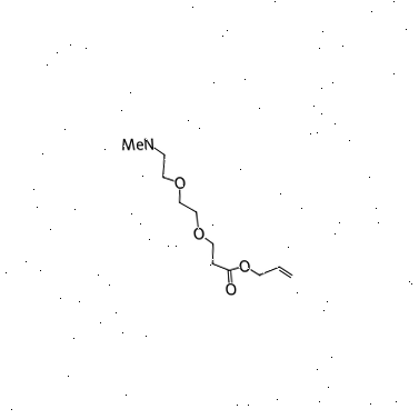 C=CCOC(=O)CCOCCOCCNC